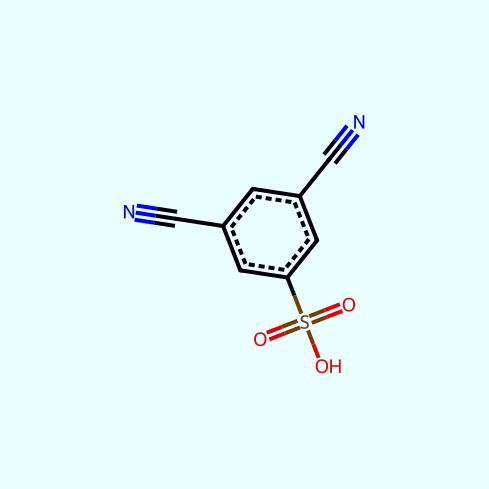 N#Cc1cc(C#N)cc(S(=O)(=O)O)c1